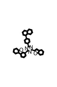 c1ccc2oc(-c3nc(-c4ccc(-c5cccc6ccccc56)cc4)nc(-c4cccc5c4oc4ccccc45)n3)cc2c1